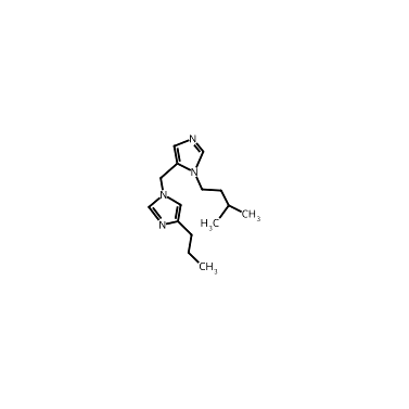 CCCc1cn(Cc2cncn2CCC(C)C)cn1